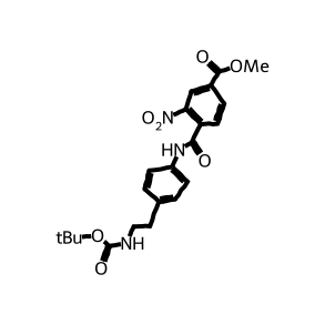 COC(=O)c1ccc(C(=O)Nc2ccc(CCNC(=O)OC(C)(C)C)cc2)c([N+](=O)[O-])c1